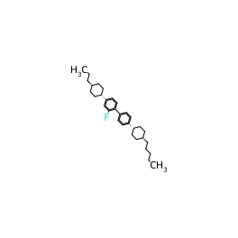 CCCCC[C@H]1CC[C@H](c2ccc(-c3ccc([C@H]4CC[C@H](CCC)CC4)cc3F)cc2)CC1